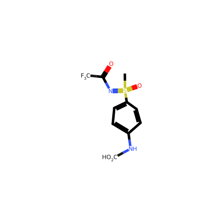 CS(=O)(=NC(=O)C(F)(F)F)c1ccc(NC(=O)O)cc1